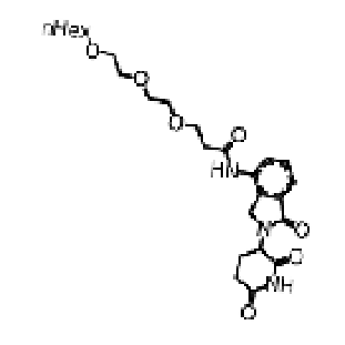 CCCCCCOCCOCCOCCC(=O)Nc1cccc2c1CN(C1CCC(=O)NC1=O)C2=O